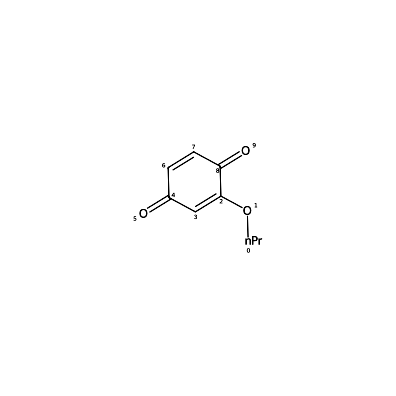 CCCOC1=CC(=O)C=CC1=O